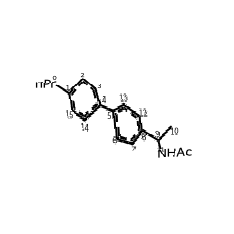 CCCc1ccc(-c2ccc(C(C)NC(C)=O)cc2)cc1